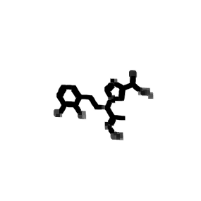 CC(=NO)[C@@H](CCc1cccc(Cl)c1Cl)n1cnc(C(N)=O)c1